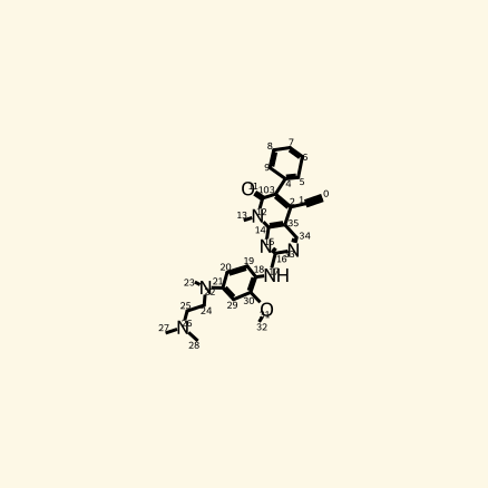 C#Cc1c(-c2ccccc2)c(=O)n(C)c2nc(Nc3ccc(N(C)CCN(C)C)cc3OC)ncc12